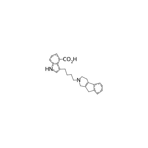 O=C(O)c1cccc2[nH]cc(CCCCN3CCC4=C(Cc5ccccc54)C3)c12